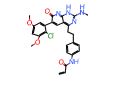 C=CC(=O)Nc1ccc(CCc2nc(NC)[nH]c3nc(=O)c(-c4cc(OC)cc(OC)c4Cl)cc2-3)cc1